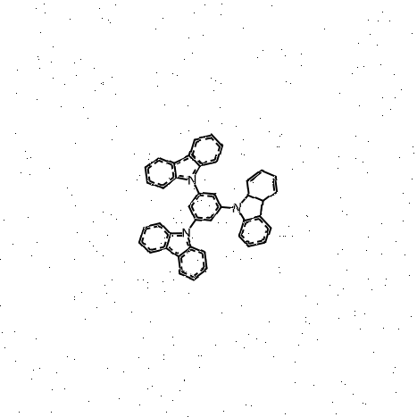 C1=CC2c3ccccc3N(c3cc(-n4c5ccccc5c5ccccc54)cc(-n4c5ccccc5c5ccccc54)c3)C2C=C1